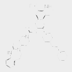 Nc1c(Cl)cc(CC(OC(=O)N2CCC(N3CCc4ccccc4NC3=O)CC2)C(=O)N2CCC(CCN3CCCCC3)CC2)cc1C(F)(F)F